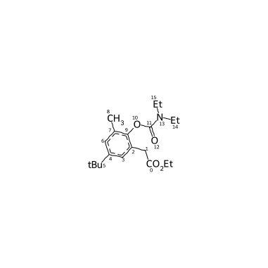 CCOC(=O)Cc1cc(C(C)(C)C)cc(C)c1OC(=O)N(CC)CC